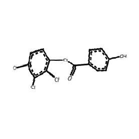 O=C(Oc1ccc(Cl)c(Cl)c1Cl)c1ccc(O)cc1